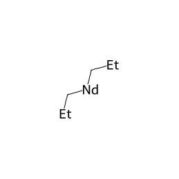 CC[CH2][Nd][CH2]CC